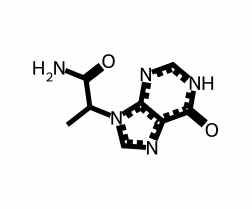 CC(C(N)=O)n1cnc2c(=O)[nH]cnc21